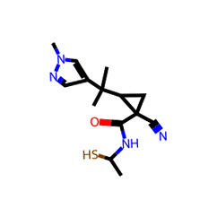 CC(S)NC(=O)C1(C#N)CC1C(C)(C)c1cnn(C)c1